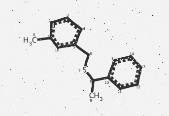 Cc1cccc(CSC(C)c2ccccc2)c1